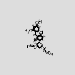 CCCCOC[C@@H]1C[C@H](OCCCC)[C@@H](OCCCC)[C@H](c2ccc(Cl)c(Cc3ccc(OCC)cc3C)c2)S1